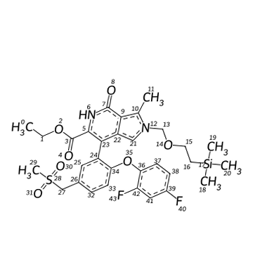 CCOC(=O)c1[nH]c(=O)c2c(C)n(COCC[Si](C)(C)C)cc2c1-c1cc(CS(C)(=O)=O)ccc1Oc1ccc(F)cc1F